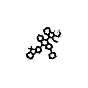 C=Cc1c(/C=C\N)cc2ccccc2c1-c1c2ccccc2c(-c2ccc3c(c2)C(C)(C)c2ccccc2-3)c2cc(-c3ccccc3)ccc12